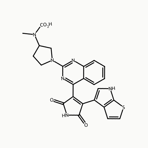 CN(C(=O)O)C1CCN(c2nc(C3=C(c4c[nH]c5sccc45)C(=O)NC3=O)c3ccccc3n2)C1